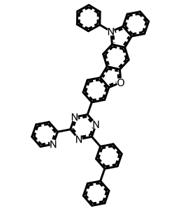 c1ccc(-c2cccc(-c3nc(-c4ccc5c(c4)oc4cc6c7ccccc7n(-c7ccccc7)c6cc45)nc(-c4ccccn4)n3)c2)cc1